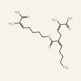 CCCCC=C(CC=C(C)C(=O)O)C(=O)OCCCCC=C(C)C(=O)O